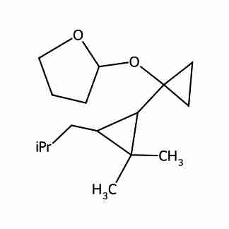 CC(C)CC1C(C2(OC3CCCO3)CC2)C1(C)C